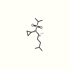 CC(C)CC[C@@H](C)N(C1CC1)S(=O)(=O)C(C)C